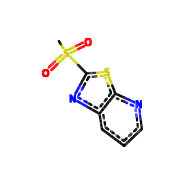 CS(=O)(=O)c1nc2cccnc2s1